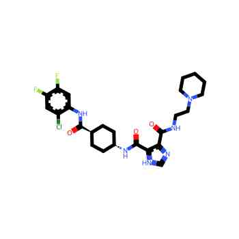 O=C(NCCN1CCCCC1)c1nc[nH]c1C(=O)N[C@H]1CC[C@H](C(=O)Nc2cc(F)c(F)cc2Cl)CC1